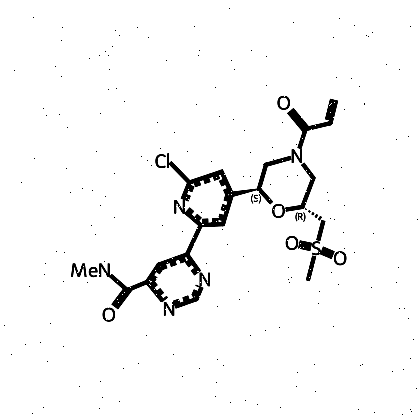 C=CC(=O)N1C[C@H](CS(C)(=O)=O)O[C@@H](c2cc(Cl)nc(-c3cc(C(=O)NC)ncn3)c2)C1